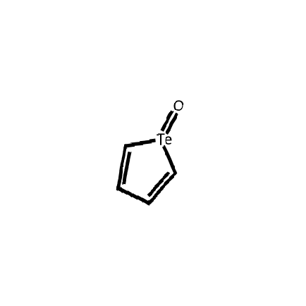 O=[Te]1C=CC=C1